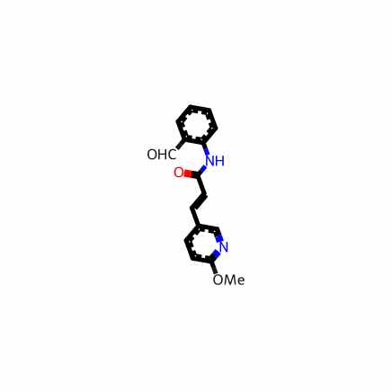 COc1ccc(/C=C/C(=O)Nc2ccccc2C=O)cn1